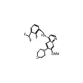 COc1cc2nccc(NCc3cccc(C(F)F)c3F)c2cc1N1CCOCC1